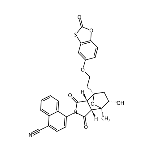 C[C@]12O[C@](CCOc3ccc4oc(=O)sc4c3)(C[C@@H]1O)[C@H]1C(=O)N(c3ccc(C#N)c4ccccc34)C(=O)[C@H]12